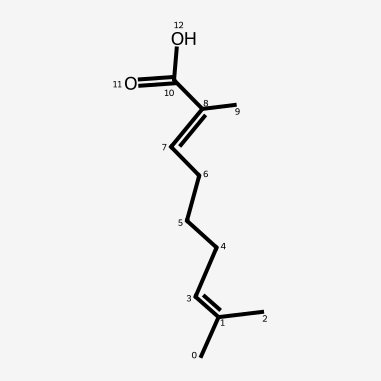 CC(C)=CCCC/C=C(\C)C(=O)O